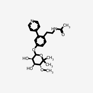 CO[C@@H]1[C@@H](O)[C@@H](O)C(Oc2ccc(CCNC(C)=O)c(-c3ccncc3)c2)OC1(C)C